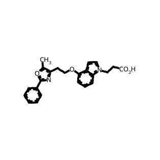 Cc1oc(-c2ccccc2)nc1CCOc1cccc2c1ccn2CCC(=O)O